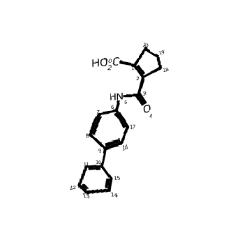 O=C(O)C1=C(C(=O)Nc2ccc(-c3ccccc3)cc2)CCC1